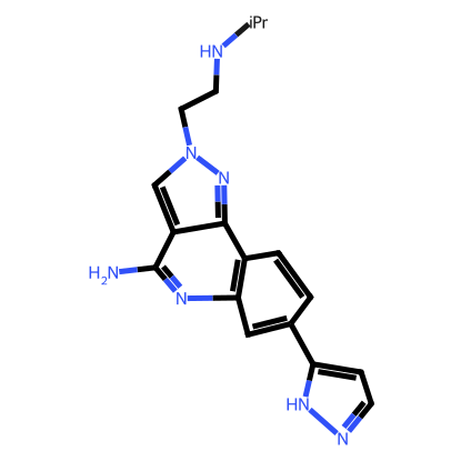 CC(C)NCCn1cc2c(N)nc3cc(-c4ccn[nH]4)ccc3c2n1